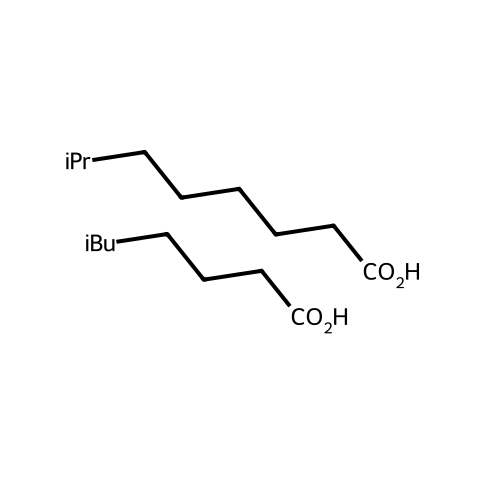 CC(C)CCCCCC(=O)O.CCC(C)CCCC(=O)O